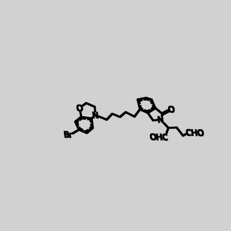 O=CCCC(C=O)N1Cc2c(CCCCCN3CCOc4cc(Br)ccc43)cccc2C1=O